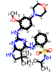 COc1cc(N2CCOCC2)ccc1Nc1nc2c(c(Nc3ccccc3S(=O)(=O)NC(C)C)n1)C(C)(C)CN2